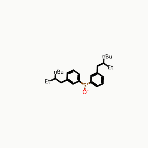 CCCCC(CC)Cc1cccc([S+]([O-])c2cccc(CC(CC)CCCC)c2)c1